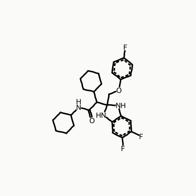 O=C(NC1CCCCC1)C(C1CCCCC1)C1(COc2ccc(F)cc2)Nc2cc(F)c(F)cc2N1